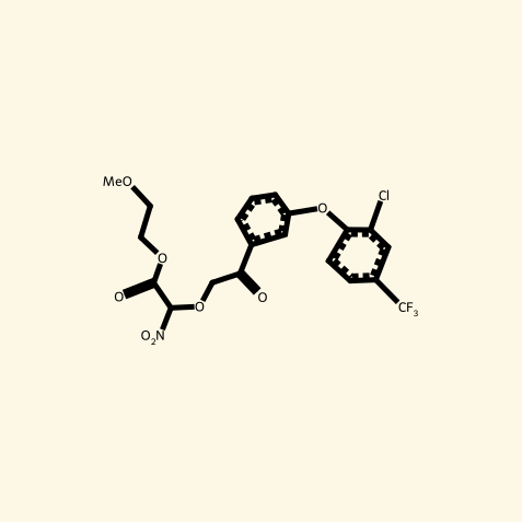 COCCOC(=O)C(OCC(=O)c1cccc(Oc2ccc(C(F)(F)F)cc2Cl)c1)[N+](=O)[O-]